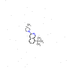 C[C@H]1CCN(c2cc3cccc(C(C)(C)C)c3cn2)C1